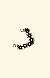 N#Cc1cc(-c2ccc(-c3ccc4oc5ccc(-c6ccc(-c7ccnc(C#N)c7)cc6)cc5c4c3)cc2)ccn1